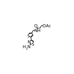 CC(=O)OCCC(=O)NCc1csc(-c2csc(N)n2)c1